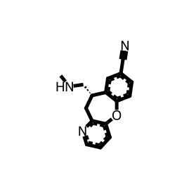 CNC[C@H]1Cc2ncccc2Oc2ccc(C#N)cc21